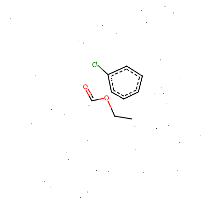 CCOC=O.Clc1ccccc1